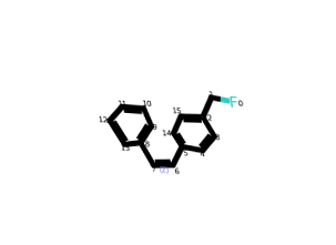 FCc1ccc(/C=C\c2ccccc2)cc1